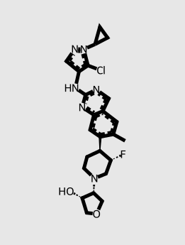 Cc1cc2cnc(Nc3cnn(C4CC4)c3Cl)nc2cc1[C@@H]1CCN([C@@H]2COC[C@@H]2O)C[C@H]1F